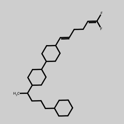 CC(CCCC1CCCCC1)C1CCC(C2CCC(C=CCCC=C(F)F)CC2)CC1